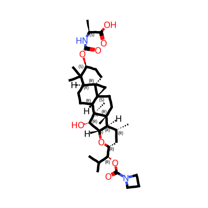 CC(C)[C@@H](OC(=O)N1CCC1)[C@H]1C[C@@H](C)[C@H]2[C@H](O1)[C@H](O)[C@@]1(C)[C@@H]3CC[C@H]4C(C)(C)[C@@H](OC(=O)N[C@@H](C)C(=O)O)CC[C@@]45C[C@@]35CC[C@]21C